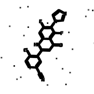 N#Cc1ccc(Cl)c(-c2cc(=O)c3c(F)c(-n4ccnc4)c(F)cc3[nH]2)c1